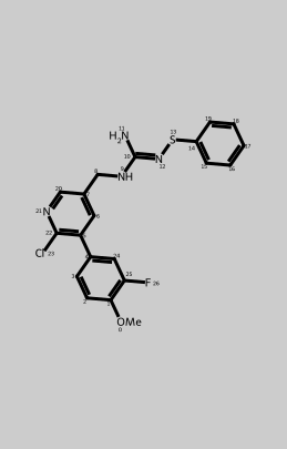 COc1ccc(-c2cc(CN/C(N)=N/Sc3ccccc3)cnc2Cl)cc1F